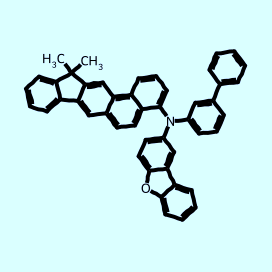 CC1(C)c2ccccc2-c2cc3ccc4c(N(c5cccc(-c6ccccc6)c5)c5ccc6oc7ccccc7c6c5)cccc4c3cc21